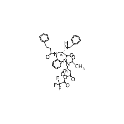 CC(=O)N([C@H](C=O)CC(=O)OC(=O)C(F)(F)F)N1C(=O)[C@@H](NCc2ccccc2)CN(C(=O)CCc2ccccc2)c2ccccc21